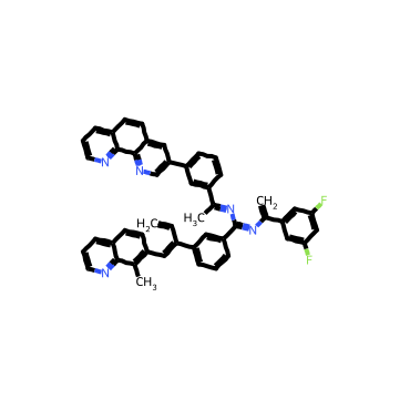 C=C/C(=C\c1ccc2cccnc2c1C)c1cccc(C(=N/C(=C)c2cc(F)cc(F)c2)/N=C(\C)c2cccc(-c3cnc4c(ccc5cccnc54)c3)c2)c1